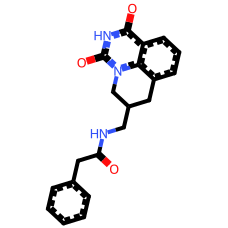 O=C(Cc1ccccc1)NCC1Cc2cccc3c(=O)[nH]c(=O)n(c23)C1